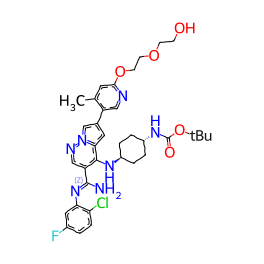 Cc1cc(OCCOCCO)ncc1-c1cc2c(N[C@H]3CC[C@H](NC(=O)OC(C)(C)C)CC3)c(/C(N)=N/c3cc(F)ccc3Cl)cnn2c1